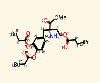 COC(=O)[C@@](N)(CCOC(=O)CCC(C)C)Cc1ccc(OC(=O)CC(C)(C)C)c(OC(=O)CC(C)(C)C)c1